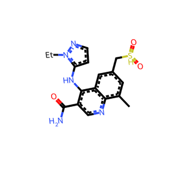 CCn1nccc1Nc1c(C(N)=O)cnc2c(C)cc(C[SH](=O)=O)cc12